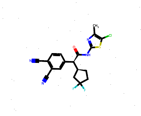 Cc1nc(NC(=O)[C@H](c2ccc(C#N)c(C#N)c2)[C@H]2CCC(F)(F)C2)sc1Cl